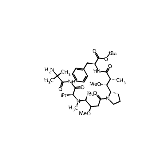 CC[C@H](C)[C@@H]([C@@H](CC(=O)N1CCC[C@H]1[C@H](OC)[C@@H](C)C(=O)N[C@@H](Cc1ccccc1)C(=O)OC(C)(C)C)OC)N(C)[C@H](C(=O)NC(=O)C(C)(C)N)C(C)C